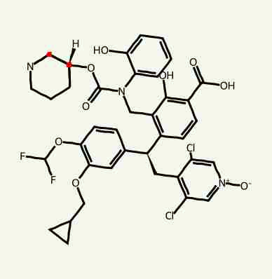 O=C(O)c1ccc([C@@H](Cc2c(Cl)c[n+]([O-])cc2Cl)c2ccc(OC(F)F)c(OCC3CC3)c2)c(CN(C(=O)O[C@H]2CN3CCC2CC3)c2ccccc2O)c1O